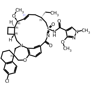 CC[C@H]1C/C=C/[C@H](OC)[C@@H]2CC[C@H]2CN2C[C@@]3(CCCc4cc(Cl)ccc43)COc3ccc(cc32)C(=O)N=S(=O)(NC(=O)c2cn(C)nc2OC)C1